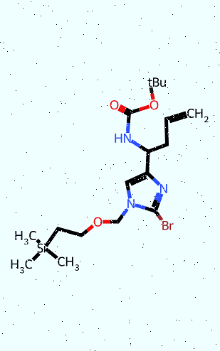 C=CCC(NC(=O)OC(C)(C)C)c1cn(COCC[Si](C)(C)C)c(Br)n1